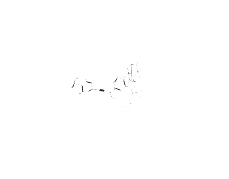 CCOC(OC)Oc1cc(C(O)C#Cc2ccc(C(=O)O)c(O)c2)ccc1C12CC3CC(CC(C3)C1)C2